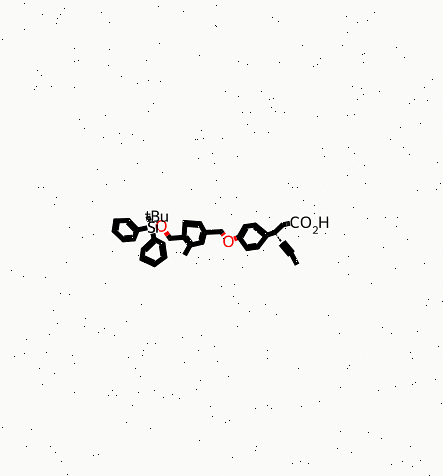 CC#C[C@@H](CC(=O)O)c1ccc(OCc2ccc(CO[Si](c3ccccc3)(c3ccccc3)C(C)(C)C)c(C)c2)cc1